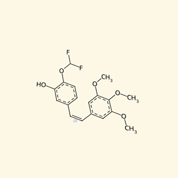 COc1cc(/C=C\c2ccc(OC(F)F)c(O)c2)cc(OC)c1OC